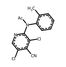 CC(=O)N(c1ccccc1C)c1ncc(Cl)c(C#N)c1Cl